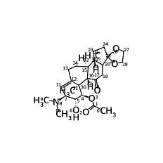 CC(=O)O[C@H]1[C@H](O)[C@@H](N(C)C)C=C2CC[C@@H]3[C@H](C(=O)C[C@@]4(C)[C@H]3CCC43OCCO3)[C@]21C